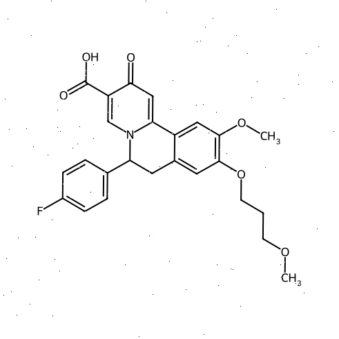 COCCCOc1cc2c(cc1OC)-c1cc(=O)c(C(=O)O)cn1C(c1ccc(F)cc1)C2